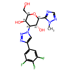 Cn1ncnc1[C@@H]1O[C@H](CO)[C@H](O)[C@H](n2cc(-c3cc(F)c(F)c(F)c3)nn2)[C@H]1O